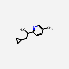 Cc1ccc(C(C)CC2CC2)nc1